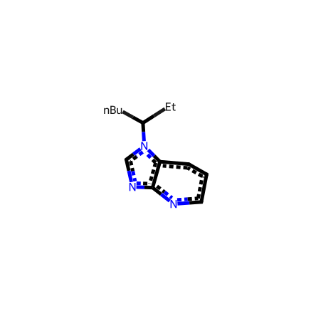 CCCCC(CC)n1cnc2ncccc21